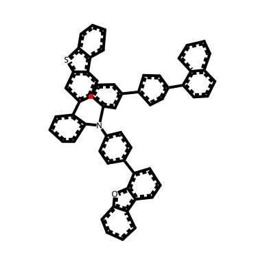 c1cc(-c2ccc(-c3cccc4ccccc34)cc2)cc(N(c2ccc(-c3cccc4c3oc3ccccc34)cc2)c2ccccc2-c2ccc3c(c2)sc2ccccc23)c1